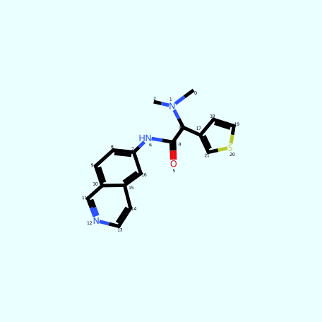 CN(C)C(C(=O)Nc1ccc2cnccc2c1)c1ccsc1